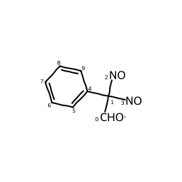 O=[C]C(N=O)(N=O)c1ccccc1